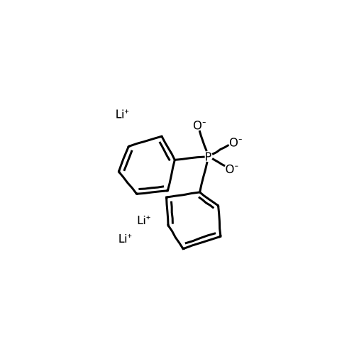 [Li+].[Li+].[Li+].[O-]P([O-])([O-])(c1ccccc1)c1ccccc1